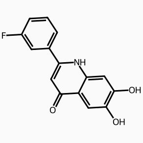 O=c1cc(-c2cccc(F)c2)[nH]c2cc(O)c(O)cc12